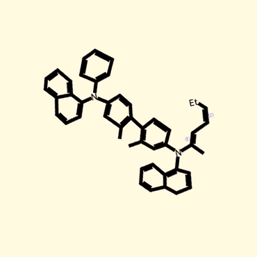 CC/C=C\C=C(/C)N(C1=C2C=CC=CC2CC=C1)c1ccc(-c2ccc(N(c3ccccc3)c3cccc4ccccc34)cc2C)c(C)c1